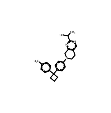 Cc1ccc(C2(c3ccc(N4CCc5cnc(C(C)O)nc5C4)cc3)CCC2)cc1